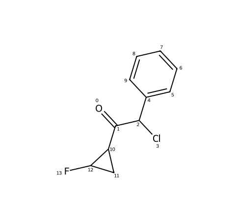 O=C(C(Cl)c1ccccc1)C1CC1F